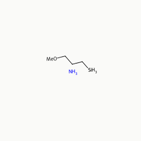 COCCC[SiH3].N